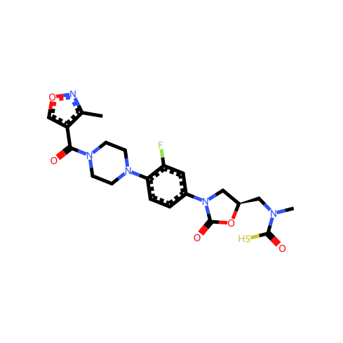 Cc1nocc1C(=O)N1CCN(c2ccc(N3C[C@@H](CN(C)C(=O)S)OC3=O)cc2F)CC1